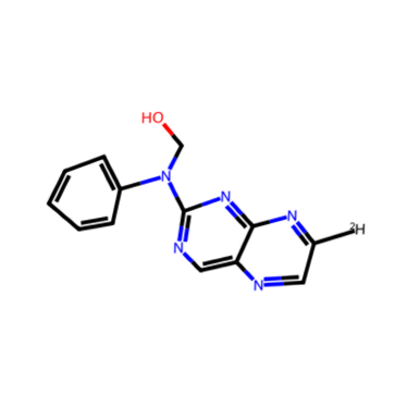 [2H]c1cnc2cnc(N(CO)c3ccccc3)nc2n1